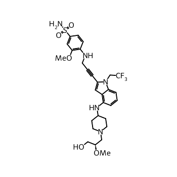 COc1cc(S(N)(=O)=O)ccc1NCC#Cc1cc2c(NC3CCN(C[C@H](CO)OC)CC3)cccc2n1CC(F)(F)F